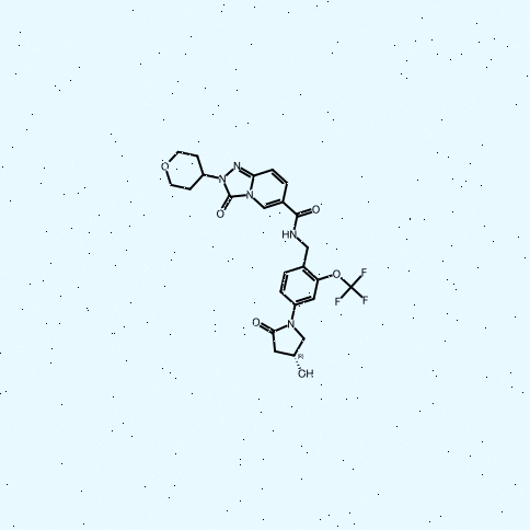 O=C(NCc1ccc(N2C[C@H](O)CC2=O)cc1OC(F)(F)F)c1ccc2nn(C3CCOCC3)c(=O)n2c1